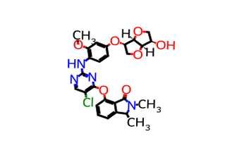 COc1cc(O[C@@H]2CO[C@H]3[C@@H]2OC[C@H]3O)ccc1Nc1ncc(Cl)c(Oc2cccc3c2C(=O)N(C)C3C)n1